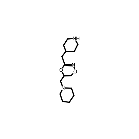 C1CCN(CC2CON=C(CC3CCNCC3)O2)CC1